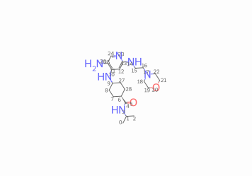 CC(C)NC(=O)[C@H]1CC[C@@H](Nc2cc(NCCN3CCOCC3)ncc2N)CC1